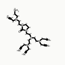 N#CCN(CC#N)CCN(CCN(CC#N)CC#N)CCN1CCN(CCN(CC#N)CCN)C1=O